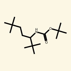 CC(C)(C)CCC(NC(=O)OC(C)(C)C)C(C)(C)C